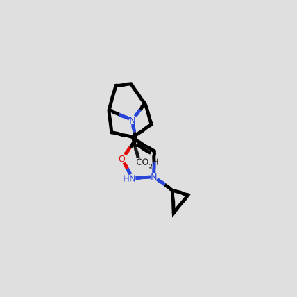 O=C(O)C1CC2CCC(C1)N2C1=CN(C2CC2)NO1